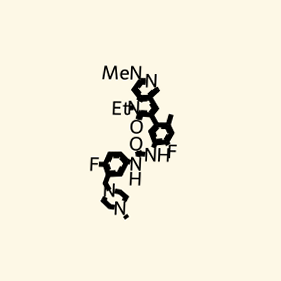 CCn1c(=O)c(-c2cc(NC(=O)Nc3ccc(F)c(CN4CCN(C)CC4)c3)c(F)cc2C)cc2cnc(NC)cc21